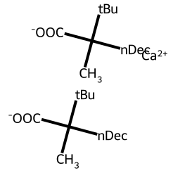 CCCCCCCCCCC(C)(C(=O)[O-])C(C)(C)C.CCCCCCCCCCC(C)(C(=O)[O-])C(C)(C)C.[Ca+2]